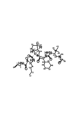 C=CCNC(=O)C(=O)C(CCCC)NC(=O)[C@@H]1[C@H]2CCC(C)(C)[C@H]2CN1C(=O)[C@@H](NC(=O)N[C@H](CN(C)[S+](C)[O-])C(C)(C)C)C1CCCCC1